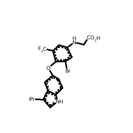 CC(C)c1c[nH]c2ccc(Oc3c(Br)cc(NCC(=O)O)cc3C(F)(F)F)cc12